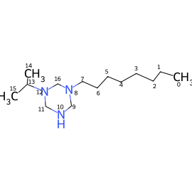 CCCCCCCCN1CNCN(C(C)C)C1